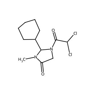 CN1C(=O)CN(C(=O)C(Cl)Cl)C1C1CCCCC1